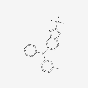 Cc1cccc(N(c2ccccc2)c2ccc3c[c]([Sn]([CH3])([CH3])[CH3])sc3c2)c1